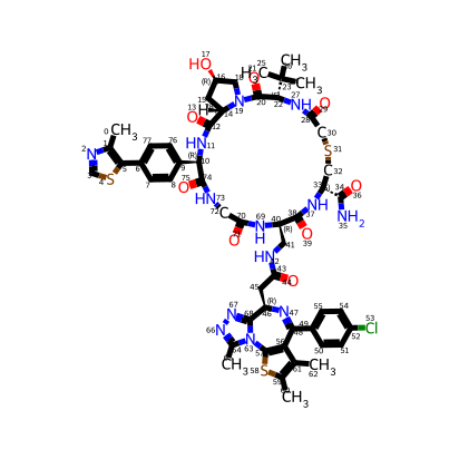 Cc1ncsc1-c1ccc([C@H]2NC(=O)[C@@H]3C[C@@H](O)CN3C(=O)[C@H](C(C)(C)C)NC(=O)CSC[C@H](C(N)=O)NC(=O)[C@@H](CNC(=O)C[C@H]3N=C(c4ccc(Cl)cc4)c4c(sc(C)c4C)-n4c(C)nnc43)NC(=O)CNC2=O)cc1